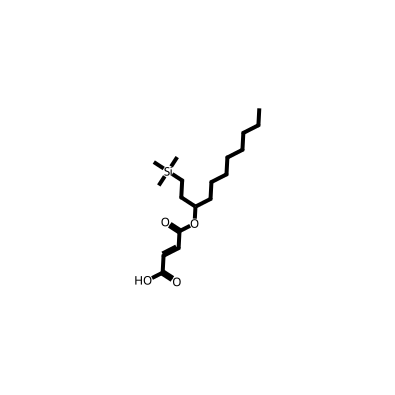 CCCCCCCCC(CC[Si](C)(C)C)OC(=O)/C=C/C(=O)O